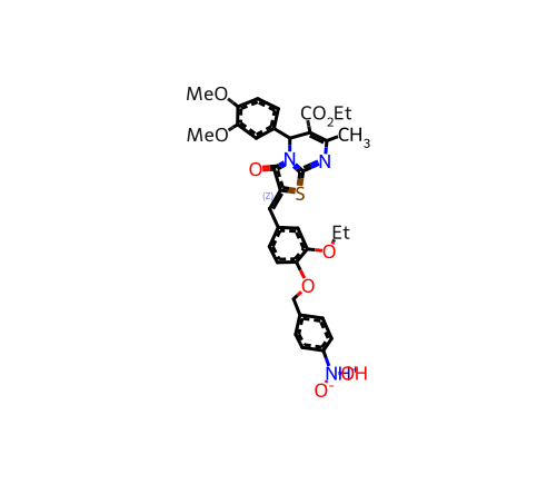 CCOC(=O)C1=C(C)N=c2s/c(=C\c3ccc(OCc4ccc([NH+]([O-])O)cc4)c(OCC)c3)c(=O)n2C1c1ccc(OC)c(OC)c1